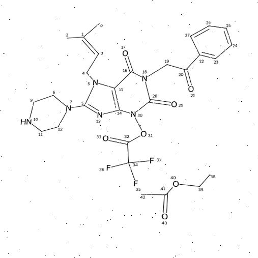 CC(C)=CCn1c(N2CCNCC2)nc2c1c(=O)n(CC(=O)c1ccccc1)c(=O)n2OC(=O)C(F)(F)F.CCOC(C)=O